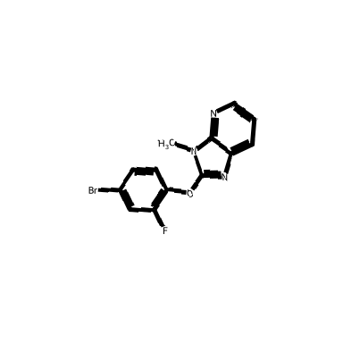 Cn1c(Oc2ccc(Br)cc2F)nc2cccnc21